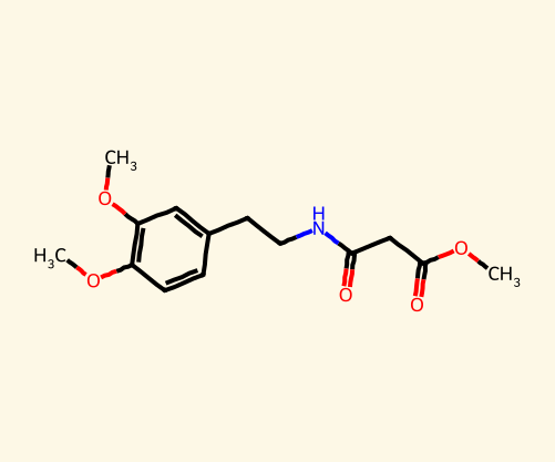 COC(=O)CC(=O)NCCc1ccc(OC)c(OC)c1